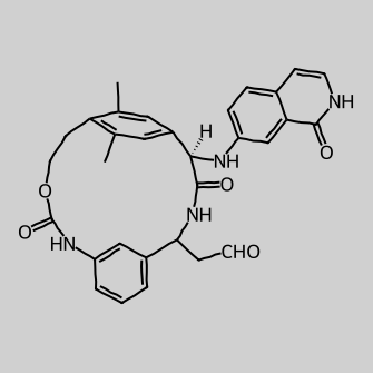 Cc1cc2cc(C)c1CCOC(=O)Nc1cccc(c1)C(CC=O)NC(=O)[C@@H]2Nc1ccc2cc[nH]c(=O)c2c1